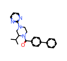 CC(C)C1CN(c2ncccn2)CCN1C(=O)c1ccc(-c2ccccc2)cc1